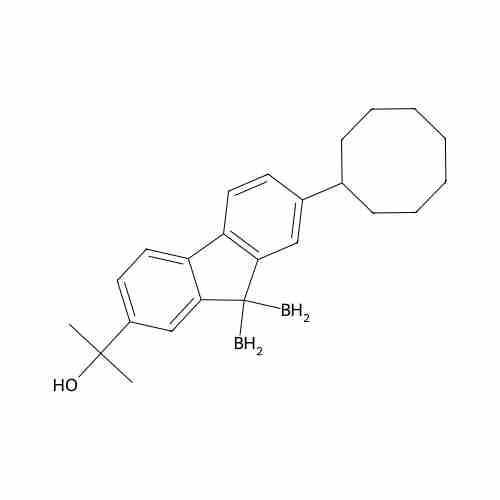 BC1(B)c2cc(C3CCCCCCC3)ccc2-c2ccc(C(C)(C)O)cc21